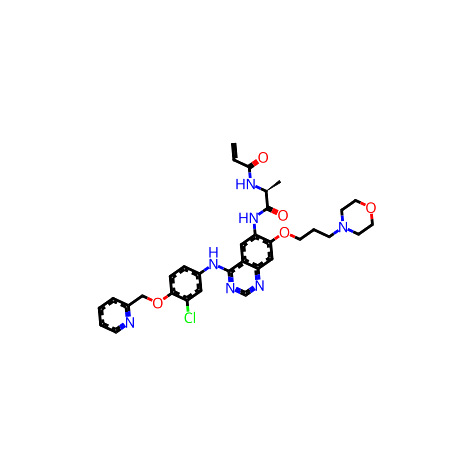 C=CC(=O)N[C@@H](C)C(=O)Nc1cc2c(Nc3ccc(OCc4ccccn4)c(Cl)c3)ncnc2cc1OCCCN1CCOCC1